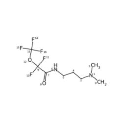 CN(C)CCCNC(=O)C(F)(F)OC(F)(F)F